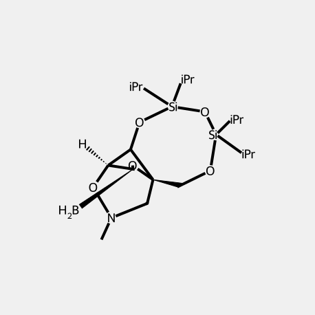 B[C@@H]1O[C@]23CO[Si](C(C)C)(C(C)C)O[Si](C(C)C)(C(C)C)OC2[C@@H]1ON(C)C3